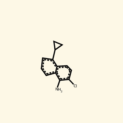 Nc1c(Cl)ccc2c(C3CC3)cccc12